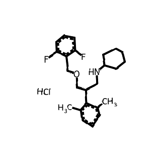 Cc1cccc(C)c1C(CNC1CCCCC1)COCc1c(F)cccc1F.Cl